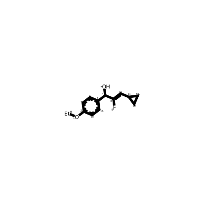 CCOc1ccc(C(O)C(F)=CC2CC2)cc1